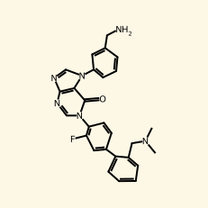 CN(C)Cc1ccccc1-c1ccc(-n2cnc3ncn(-c4cccc(CN)c4)c3c2=O)c(F)c1